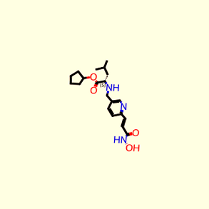 CC(C)C[C@H](NCc1ccc(C=CC(=O)NO)nc1)C(=O)OC1CCCC1